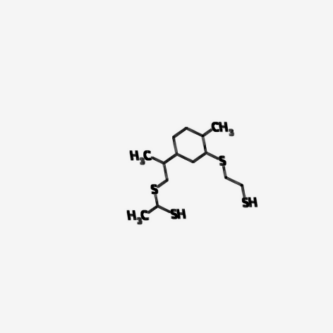 CC(S)SCC(C)C1CCC(C)C(SCCS)C1